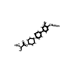 CCCCCCCCCOc1ccc(-c2ccc([C@H]3CC[C@H](OC(=O)[C@@H](F)CCCC)CC3)cc2)cc1Br